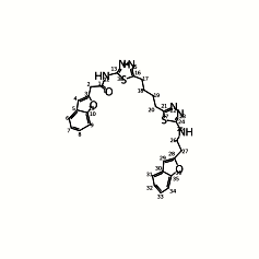 O=C(Cc1cc2ccccc2o1)Nc1nnc(CCCCc2nnc(NCCc3cc4ccccc4o3)s2)s1